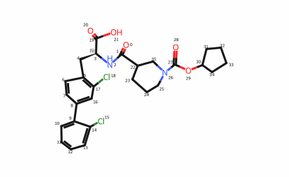 O=C(N[C@@H](Cc1ccc(-c2ccccc2Cl)cc1Cl)C(=O)O)C1CCCN(C(=O)OC2CCCC2)C1